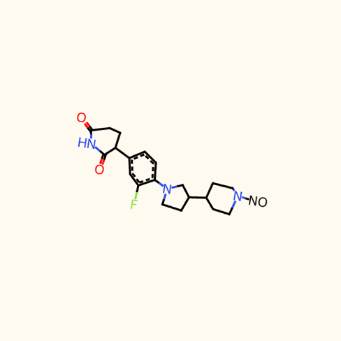 O=NN1CCC(C2CCN(c3ccc(C4CCC(=O)NC4=O)cc3F)C2)CC1